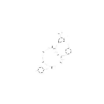 COc1ccc(C[C@H]2C(=O)N[C@@H](C)C(=O)N(C)[C@H]3Cc4ccc(cc4)Oc4cc(cc([N+](=O)[O-])c4O)C[C@@H](C(=O)N[C@H](C)C(=O)N[C@@H](C)C(=O)N2C)N(C)C3=O)cc1